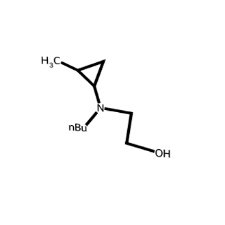 CCCCN(CCO)C1CC1C